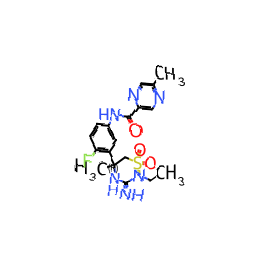 CCN1C(=N)N[C@](C)(c2cc(NC(=O)c3cnc(C)cn3)ccc2F)CS1(=O)=O